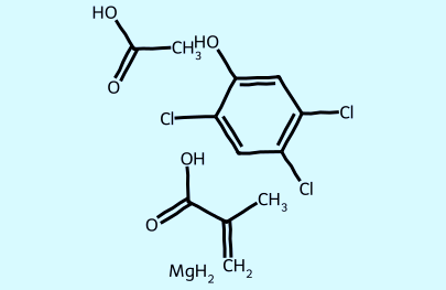 C=C(C)C(=O)O.CC(=O)O.Oc1cc(Cl)c(Cl)cc1Cl.[MgH2]